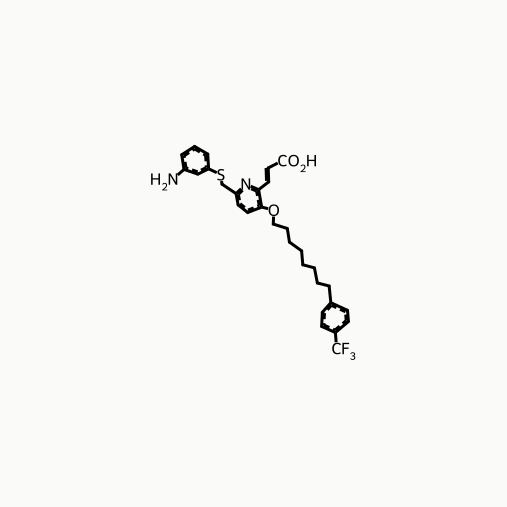 Nc1cccc(SCc2ccc(OCCCCCCCCc3ccc(C(F)(F)F)cc3)c(C=CC(=O)O)n2)c1